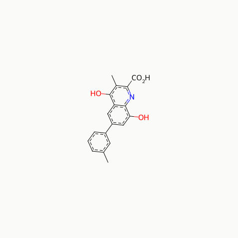 Cc1cccc(-c2cc(O)c3nc(C(=O)O)c(C)c(O)c3c2)c1